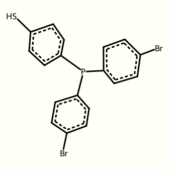 Sc1ccc(P(c2ccc(Br)cc2)c2ccc(Br)cc2)cc1